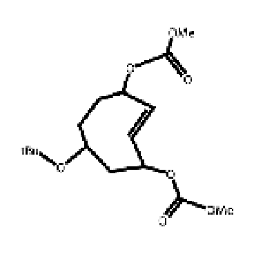 COC(=O)OC1/C=C/C(OC(=O)OC)CC(OC(C)(C)C)CC1